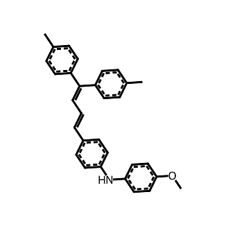 COc1ccc(Nc2ccc(C=CC=C(c3ccc(C)cc3)c3ccc(C)cc3)cc2)cc1